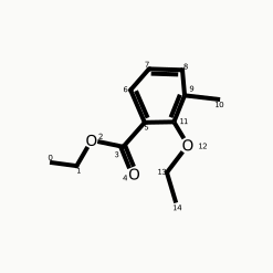 CCOC(=O)c1cccc(C)c1OCC